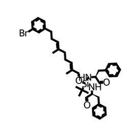 C/C(=C\CCc1cccc(Br)c1)CC/C=C(\C)CO[Si](N[C@H](C=O)Cc1ccccc1)(N[C@H](C=O)Cc1ccccc1)C(C)(C)C